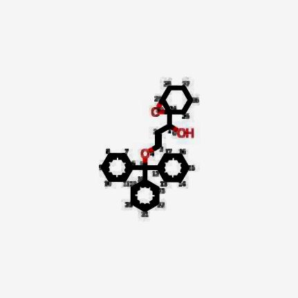 OC(/C=C/OC(c1ccccc1)(c1ccccc1)c1ccccc1)C12CCCCC1O2